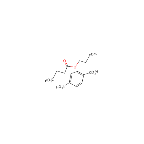 CCCCCCCCCCCCOC(=O)CCC(=O)O.O=C(O)c1ccc(C(=O)O)cc1